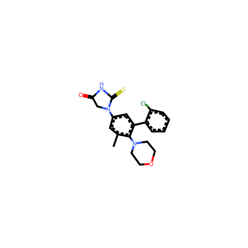 Cc1cc(N2CC(=O)NC2=S)cc(-c2ccccc2Cl)c1N1CCOCC1